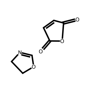 C1=NCCO1.O=C1C=CC(=O)O1